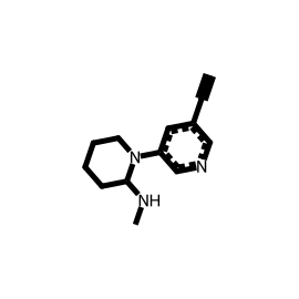 C#Cc1cncc(N2CCCCC2NC)c1